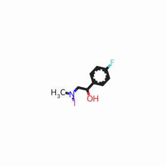 CN(I)CC(O)c1ccc(F)cc1